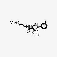 COCCCNC(=O)c1cnc(-c2cccc(C)c2)nc1N